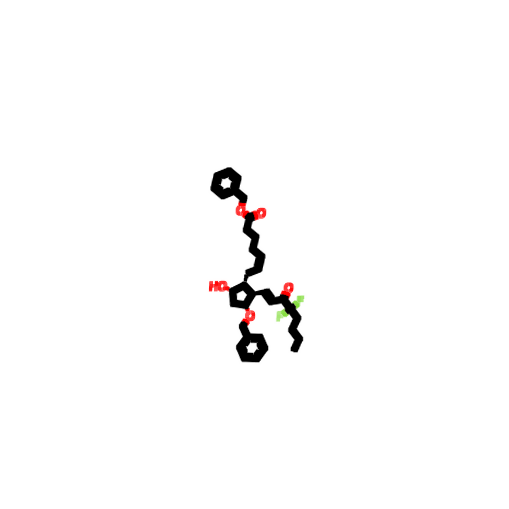 CCCCC(F)(F)C(=O)/C=C/[C@@H]1[C@@H](C/C=C\CCCC(=O)OCc2ccccc2)[C@@H](O)C[C@H]1OCc1ccccc1